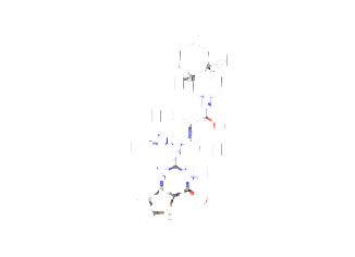 C=NN(/C(C)=C(\C)C(=O)N1CC[C@H]2CCCC[C@H]2C1)c1nc2ccsc2c(=O)[nH]1